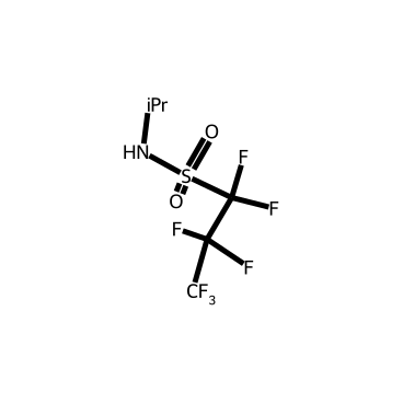 CC(C)NS(=O)(=O)C(F)(F)C(F)(F)C(F)(F)F